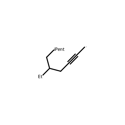 [CH2]C#CCC(CC)CC(C)CC[CH2]